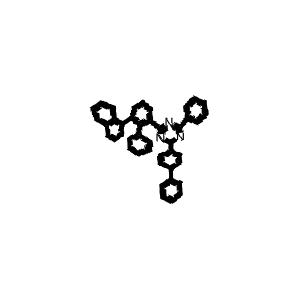 c1ccc(-c2ccc(-c3nc(-c4ccccc4)nc(-c4cccc(-c5cccc6ccccc56)c4-c4ccccc4)n3)cc2)cc1